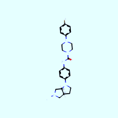 CN1C[C@H]2CCN(c3ccc(NC(=O)N4CCN(c5ccc(Br)cc5)CC4)cc3)[C@H]2C1